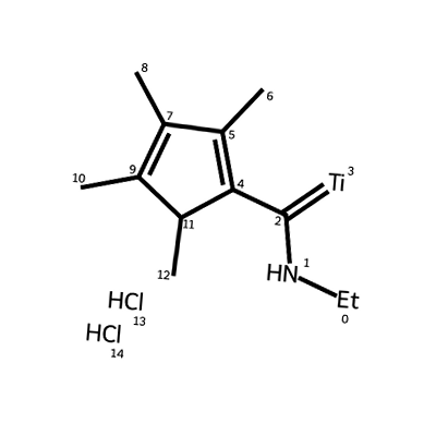 CCN[C](=[Ti])C1=C(C)C(C)=C(C)C1C.Cl.Cl